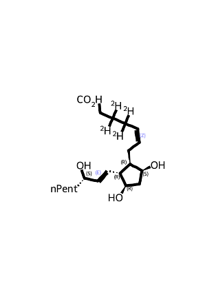 [2H]C([2H])(/C=C\C[C@@H]1[C@@H](/C=C/[C@@H](O)CCCCC)[C@H](O)C[C@@H]1O)C([2H])([2H])CC(=O)O